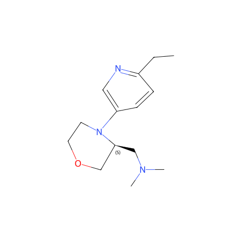 CCc1ccc(N2CCOC[C@@H]2CN(C)C)cn1